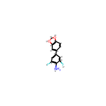 Nc1c(F)cc(-c2ccc3c(c2)OCO3)cc1F